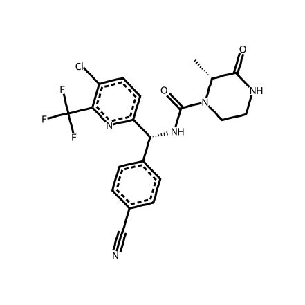 C[C@@H]1C(=O)NCCN1C(=O)N[C@H](c1ccc(C#N)cc1)c1ccc(Cl)c(C(F)(F)F)n1